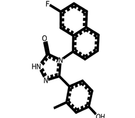 Cc1cc(O)ccc1-c1n[nH]c(=O)n1-c1cccc2ccc(F)cc12